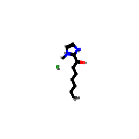 CCCCCCCCCCCCCC(=O)c1[nH]cc[n+]1C.[Cl-]